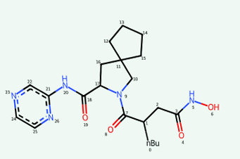 CCCCC(CC(=O)NO)C(=O)N1CC2(CCCC2)CC1C(=O)Nc1cnccn1